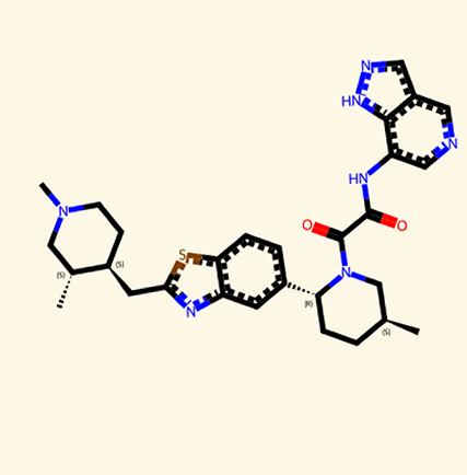 C[C@H]1CC[C@H](c2ccc3sc(C[C@@H]4CCN(C)C[C@H]4C)nc3c2)N(C(=O)C(=O)Nc2cncc3cn[nH]c23)C1